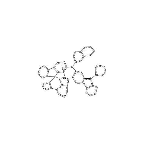 CCc1ccc2cccc3c2c1C1(c2ccccc2-c2ccc(N(c4ccc5ccccc5c4)c4ccc5c6ccccc6n(-c6ccccc6)c5c4)cc21)c1ccccc1-3